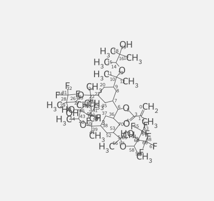 C=C(C)C(=O)OC(C1CC(C(C)(C)OC(C)C(C)(C)O)CC(C(C)(C)OC(C)C(C)(O)C(F)(F)F)C1)C1CC(C(C)(C)OC(C)C(C)(O)C(F)(F)F)CC(C(C)(C)OC(C)C(O)(C(F)(F)F)C(F)(F)F)C1